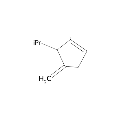 C=C1CC=[C]C1C(C)C